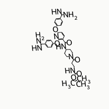 CC(C)(C)OC(=O)NCCC(=O)N1CCC(NC(=O)c2ccc(Oc3ccc(C(=N)N)cc3)nc2Oc2ccc(C(=N)N)cc2)CC1